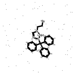 BrCCN1[C]=NN(C(c2ccccc2)(c2ccccc2)c2ccccc2)N1